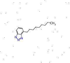 CCCCCCCCCc1cccc2c1N=N[N]2